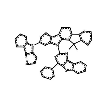 CC1(C)c2ccccc2-c2ccc3c4ccc(-n5c6ccccc6c6ccccc65)cc4n(-c4nc(-c5ccccc5)c5sc6ccccc6c5n4)c3c21